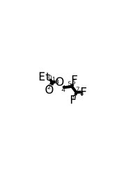 CCC(=O)OCC(F)C(F)F